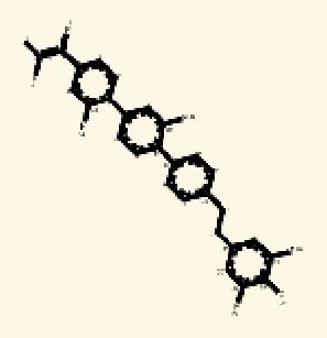 C/C(F)=C(\F)c1ccc(-c2ccc(-c3ccc(CCc4cc(F)c(F)c(F)c4)cc3)c(F)c2)c(F)c1